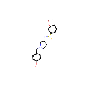 [O-][S+](N[C@@H]1CCN(Cc2ccc(OC(F)(F)F)cc2)C1)c1cccc(OC(F)(F)F)c1